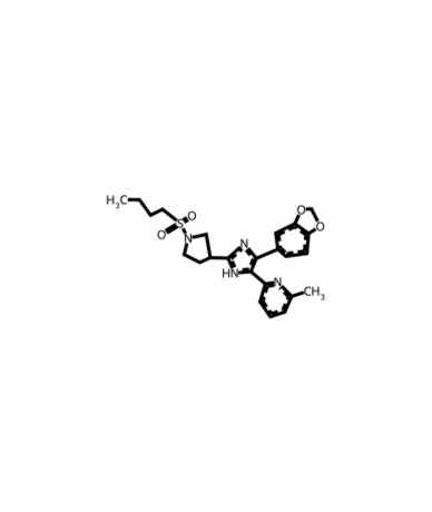 CCCCS(=O)(=O)N1CCC(c2nc(-c3ccc4c(c3)OCO4)c(-c3cccc(C)n3)[nH]2)C1